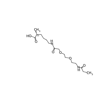 CCC(=O)NCCOCCOCC(=O)NCCCC[C@H](C)C(=O)O